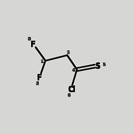 FC(F)CC(=S)Cl